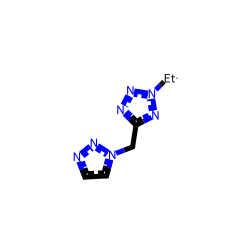 C[CH]n1nnc(Cn2ccnn2)n1